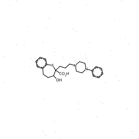 O=C(O)C1(CCCN2CCN(c3ccccc3)CC2)Sc2ccccc2CCC1O